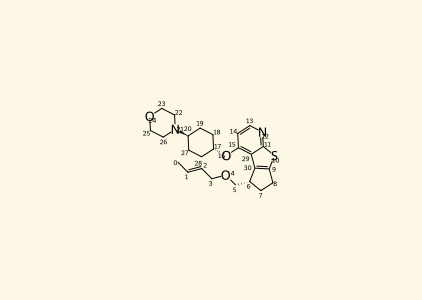 C/C=C/COC[C@H]1CCc2sc3nccc(O[C@H]4CC[C@H](N5CCOCC5)CC4)c3c21